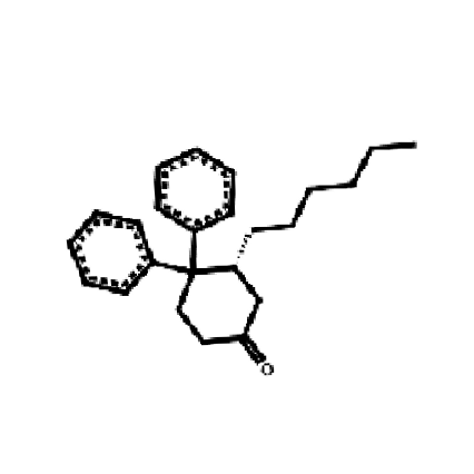 CCCCCC[C@@H]1CC(=O)CCC1(c1ccccc1)c1ccccc1